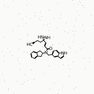 C#CCCC1(C=CC(=O)N(Cc2ccc3[nH]ccc3c2)C2Cc3ccccc3C2)NN1